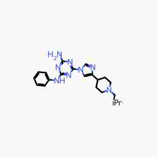 C[C](C)CN1CCC(c2cn(-c3nc(N)nc(Nc4ccccc4)n3)cn2)CC1